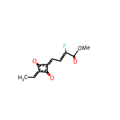 CC=c1c(=O)c(=CC=C(F)C(=O)OC)c1=O